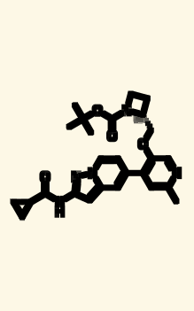 Cc1cc(-c2ccn3nc(NC(=O)C4CC4)cc3c2)c(OC[C@H]2CCN2C(=O)OC(C)(C)C)cn1